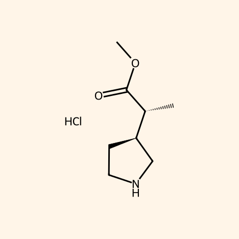 COC(=O)[C@H](C)[C@@H]1CCNC1.Cl